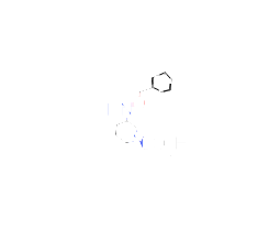 O=C(O)N1CCCC(NOCc2ccccc2)C1